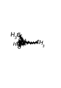 CCCCCCCCCCCc1ccc(C(=O)O)c(C(=O)O)c1CCCCCC